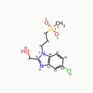 CS(=O)(=O)CCCn1c(CO)nc2cc(Cl)ccc21